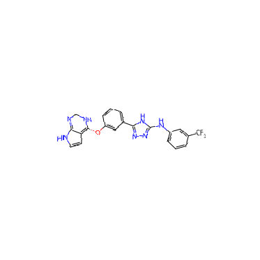 FC(F)(F)c1cccc(Nc2nnc(-c3cccc(OC4=c5cc[nH]c5=NCN4)c3)[nH]2)c1